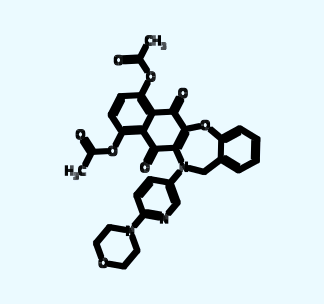 CC(=O)Oc1ccc(OC(C)=O)c2c1C(=O)C1=C(C2=O)N(c2ccc(N3CCOCC3)nc2)Cc2ccccc2O1